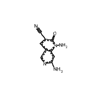 N#Cc1cc2cnc(N)cc2n(N)c1=O